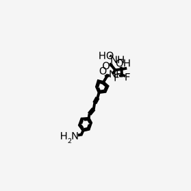 CC(O)(C(F)F)C(NC(=O)c1ccc(C#CC#Cc2ccc(CN)cc2)cc1)C(=O)NO